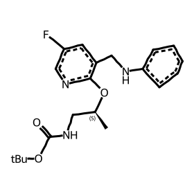 C[C@@H](CNC(=O)OC(C)(C)C)Oc1ncc(F)cc1CNc1ccccc1